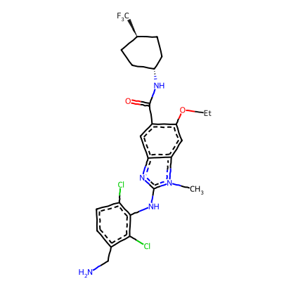 CCOc1cc2c(cc1C(=O)N[C@H]1CC[C@H](C(F)(F)F)CC1)nc(Nc1c(Cl)ccc(CN)c1Cl)n2C